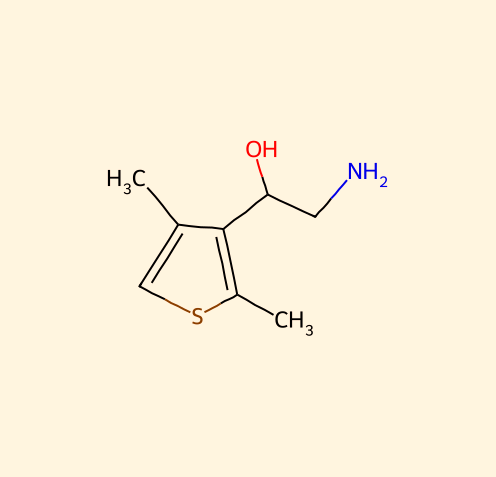 Cc1csc(C)c1C(O)CN